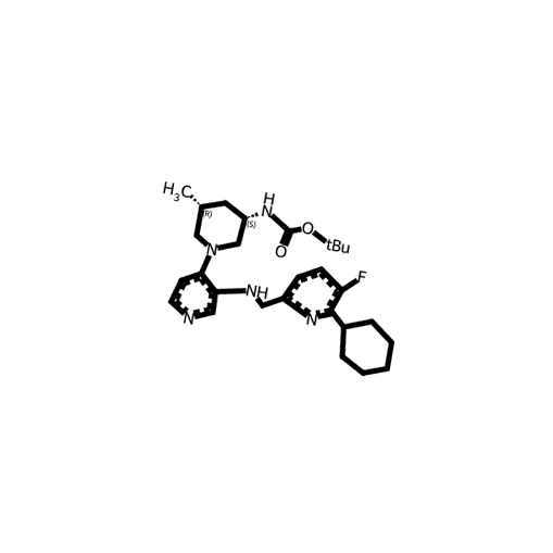 C[C@@H]1C[C@H](NC(=O)OC(C)(C)C)CN(c2ccncc2NCc2ccc(F)c(C3CCCCC3)n2)C1